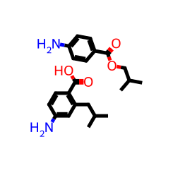 CC(C)COC(=O)c1ccc(N)cc1.CC(C)Cc1cc(N)ccc1C(=O)O